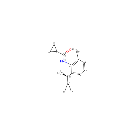 CC(C)c1cccc([C@H](C)C2CC2)c1NC(=O)C1CC1